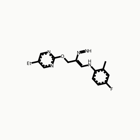 CCc1cnc(OC/C(=C/Nc2ccc(F)cc2C)N=N)nc1